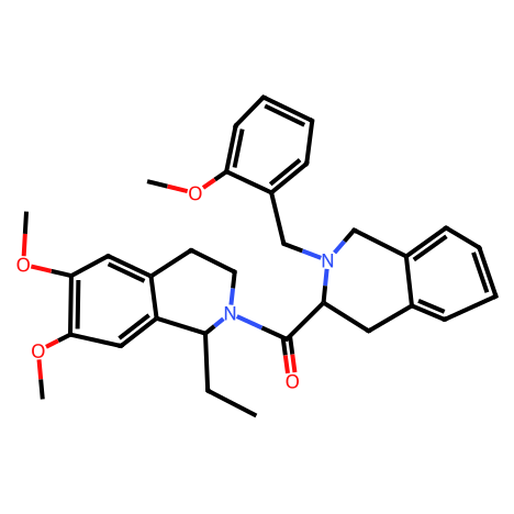 CCC1c2cc(OC)c(OC)cc2CCN1C(=O)C1Cc2ccccc2CN1Cc1ccccc1OC